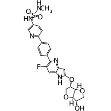 CNS(=O)(=O)Nc1ccc(-c2ccc(-c3nc4cc(O[C@@H]5CO[C@H]6[C@@H]5OC[C@H]6O)[nH]c4cc3F)cc2)nc1